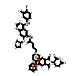 O=C(/C=C/CN1CCC(CN2C3CC2CN(c2cc4c(cc2F)C(=O)N(C2CCC(=O)NC2=O)C4=O)C3)CC1)Nc1cc2c(Nc3ccc(F)c(Cl)c3)ncnc2cc1OC1CCOC1